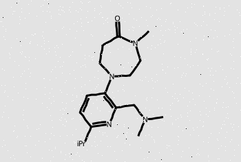 CC(C)c1ccc(N2CCC(=O)N(C)CC2)c(CN(C)C)n1